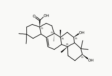 CC1(C)CC[C@]2(C(=O)O)CC[C@]3(C)C(=CCC4[C@@]5(C)CC[C@H](O)C(C)(C)C5[C@H](O)C[C@]43C)C2C1